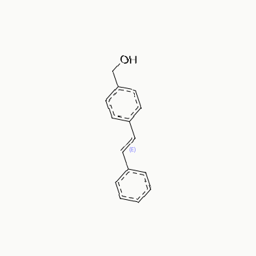 OCc1ccc(/C=C/c2ccccc2)cc1